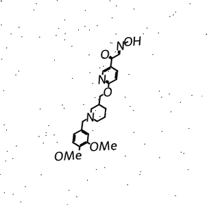 COc1ccc(CN2CCCC(COc3ccc(C(=O)C=NO)cn3)C2)cc1OC